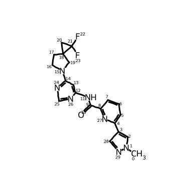 Cn1cc(-c2cccc(C(=O)Nc3cc(N4CCC5(C4)CC5(F)F)ncn3)n2)cn1